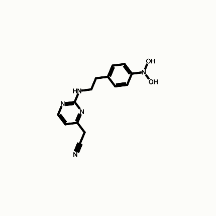 N#CCc1ccnc(NCCc2ccc(N(O)O)cc2)n1